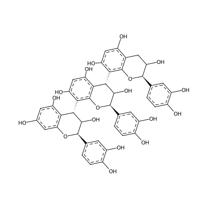 Oc1cc(O)c2c(c1)O[C@H](c1ccc(O)c(O)c1)C(O)[C@H]2c1c(O)cc(O)c2c1O[C@H](c1ccc(O)c(O)c1)C(O)[C@H]2c1c(O)cc(O)c2c1O[C@H](c1ccc(O)c(O)c1)C(O)C2